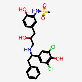 CS(=O)(=O)Nc1cc(CC(O)CNC(Cc2ccccc2)c2cc(Cl)c(O)c(Cl)c2)ccc1O